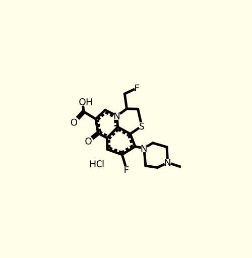 CN1CCN(c2c(F)cc3c(=O)c(C(=O)O)cn4c3c2SCC4CF)CC1.Cl